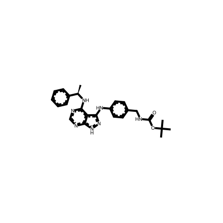 C[C@@H](Nc1ncnc2[nH]nc(Nc3ccc(CNC(=O)OC(C)(C)C)cc3)c12)c1ccccc1